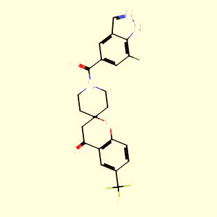 O=C1CC2(CCN(C(=O)c3cc(Cl)c4[nH]ncc4c3)CC2)Oc2ccc(C(F)(F)F)cc21